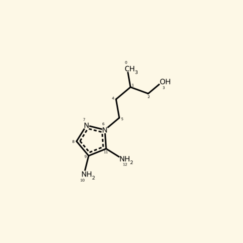 CC(CO)CCn1ncc(N)c1N